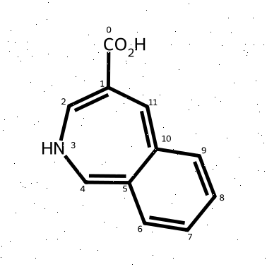 O=C(O)C1=CNC=c2ccccc2=C1